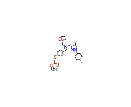 Cc1ccc(-n2cc(C)c(CN(Cc3ccc(SC(C)(C)C(=O)OC(C)(C)C)cc3)Cc3ccco3)n2)cc1